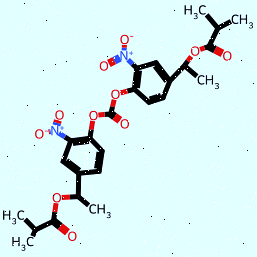 CC(C)C(=O)OC(C)c1ccc(OC(=O)Oc2ccc(C(C)OC(=O)C(C)C)cc2[N+](=O)[O-])c([N+](=O)[O-])c1